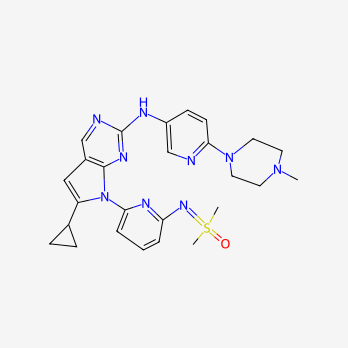 CN1CCN(c2ccc(Nc3ncc4cc(C5CC5)n(-c5cccc(N=S(C)(C)=O)n5)c4n3)cn2)CC1